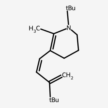 C=C(/C=C\C1=C(C)N(C(C)(C)C)CCC1)C(C)(C)C